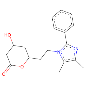 Cc1nc(-c2ccccc2)n(CCC2CC(O)CC(=O)O2)c1C